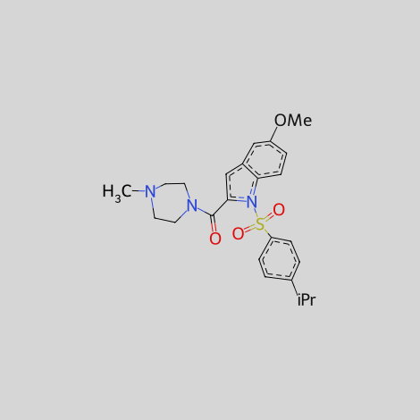 COc1ccc2c(c1)cc(C(=O)N1CCN(C)CC1)n2S(=O)(=O)c1ccc(C(C)C)cc1